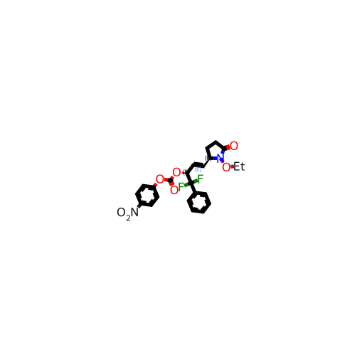 CCON1C(=O)CC[C@@H]1/C=C/[C@@H](OC(=O)Oc1ccc([N+](=O)[O-])cc1)C(F)(F)c1ccccc1